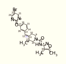 Cc1onc(NC(=O)N2CC/C(=C\c3cccc(Oc4ncc(Br)cn4)c3)C(C)C2)c1C